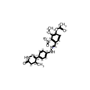 COc1c(OC(C)=O)ccc(/C=N/Nc2ccc(C3=NNC(=O)CC3C)cc2)c1[N+](=O)[O-]